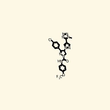 Cn1nnnc1-c1cnn(C2CN(C(=O)Nc3ccc(OC(F)(F)F)cc3)N=C2c2ccc(Cl)cc2)c1